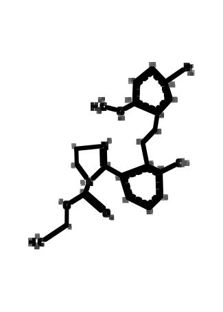 CCOC(=O)N1CCN=C1c1cccc(Cl)c1CCc1cc(Br)ccc1OC